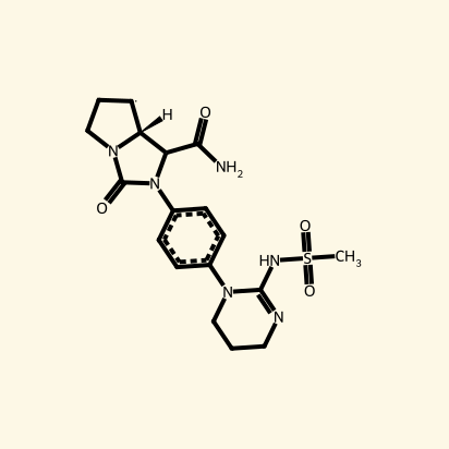 CS(=O)(=O)NC1=NCCCN1c1ccc(N2C(=O)N3CC[CH][C@@H]3C2C(N)=O)cc1